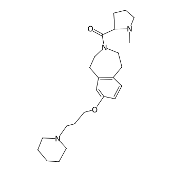 CN1CCCC1C(=O)N1CCc2ccc(OCCCN3CCCCC3)cc2CC1